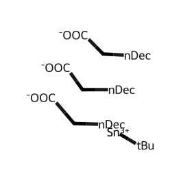 CCCCCCCCCCCC(=O)[O-].CCCCCCCCCCCC(=O)[O-].CCCCCCCCCCCC(=O)[O-].C[C](C)(C)[Sn+3]